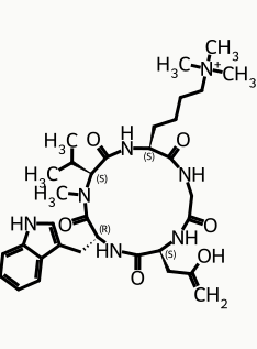 C=C(O)C[C@@H]1NC(=O)CNC(=O)[C@H](CCCC[N+](C)(C)C)NC(=O)[C@H](C(C)C)N(C)C(=O)[C@@H](Cc2c[nH]c3ccccc23)NC1=O